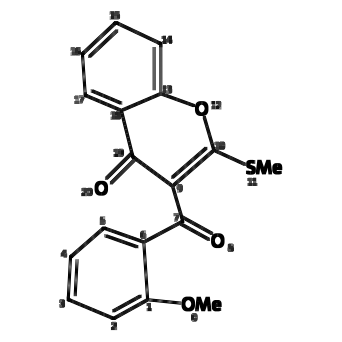 COc1ccccc1C(=O)c1c(SC)oc2ccccc2c1=O